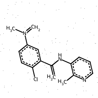 C=C(Nc1cccnc1C)c1cc([N+](=C)C)ccc1Cl